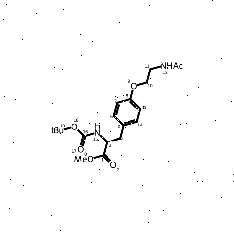 COC(=O)[C@H](Cc1ccc(OCCNC(C)=O)cc1)NC(=O)OC(C)(C)C